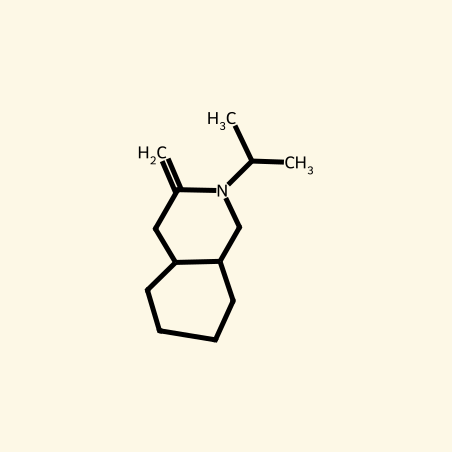 C=C1CC2CCCCC2CN1C(C)C